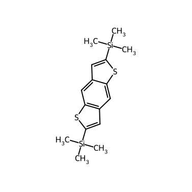 C[Si](C)(C)c1cc2cc3sc([Si](C)(C)C)cc3cc2s1